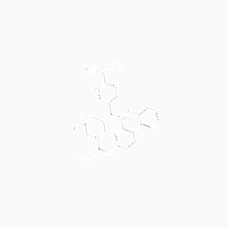 CC(=O)N1CC(F)(F)CCC1c1nccc(-c2ccccc2F)c1NC(=O)c1cnc(C(C)C)nc1